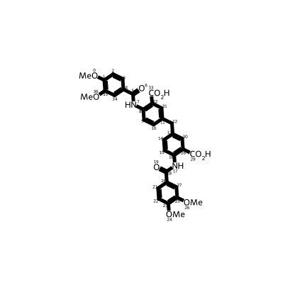 COc1ccc(C(=O)Nc2ccc(Cc3ccc(NC(=O)c4ccc(OC)c(OC)c4)c(C(=O)O)c3)cc2C(=O)O)cc1OC